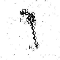 Cc1ncsc1-c1ccc(CNC(=O)[C@@H]2CCCN2C(=O)C(NC(=O)COCCOCCCOCCCOCCCOCC(N)=O)C(C)(C)C)cc1